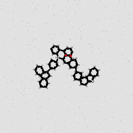 c1ccc(-c2ccccc2N(c2ccc(-c3cc4ccccc4c4ccccc34)cc2)c2ccc3ccc(-c4ccc5ccc6oc7ccccc7c6c5c4)cc3c2)cc1